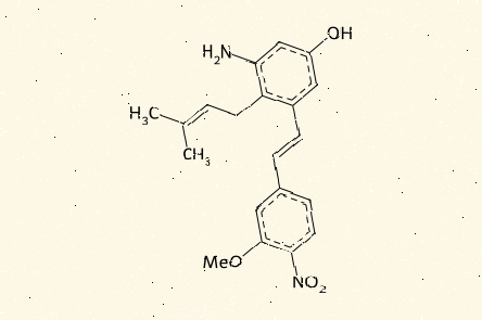 COc1cc(/C=C/c2cc(O)cc(N)c2CC=C(C)C)ccc1[N+](=O)[O-]